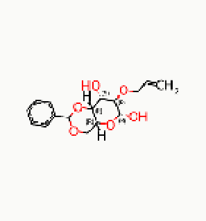 C=CCO[C@@H]1[C@@H](O)[C@H]2OC(c3ccccc3)OC[C@H]2O[C@H]1O